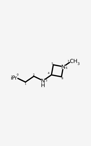 CC(C)CCNC1CN(C)C1